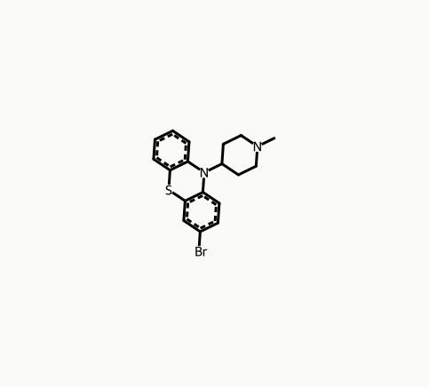 CN1CCC(N2c3ccccc3Sc3cc(Br)ccc32)CC1